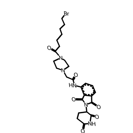 O=C1CCC(N2C(=O)c3cccc(NC(=O)CN4CCN(C(=O)CCCCCCBr)CC4)c3C2=O)C(=O)N1